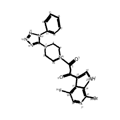 O=C(C(=O)N1CCN(c2nnnn2-c2ccccc2)CC1)c1c[nH]c2c(Br)ncc(F)c12